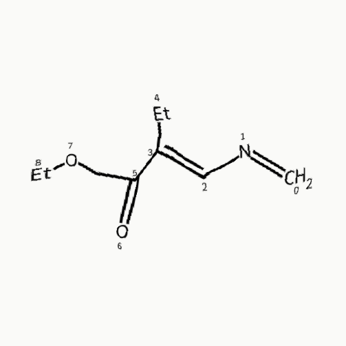 C=N/C=C(\CC)C(=O)OCC